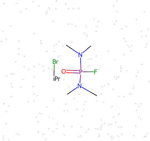 CC(C)Br.CN(C)P(=O)(F)N(C)C